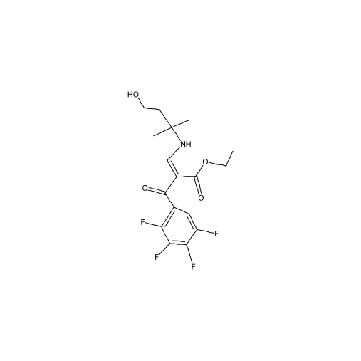 CCOC(=O)C(=CNC(C)(C)CCO)C(=O)c1cc(F)c(F)c(F)c1F